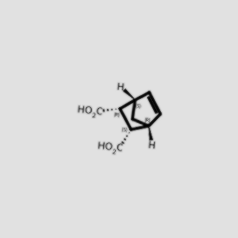 O=C(O)[C@@H]1[C@H](C(=O)O)[C@@H]2C=C[C@H]1C2